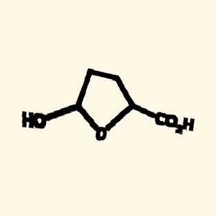 O=C(O)C1CCC(O)O1